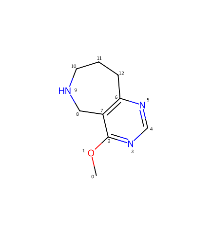 COc1ncnc2c1CNCCC2